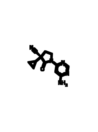 N#C[C@@]1(C2CC2)CCN(c2cc(N)ncn2)C1=O